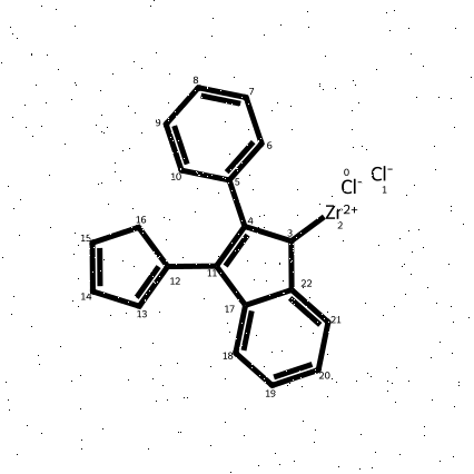 [Cl-].[Cl-].[Zr+2][CH]1C(c2ccccc2)=C(C2=CC=CC2)c2ccccc21